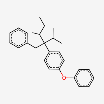 CCC(C)C(Cc1ccccc1)(c1ccc(Oc2ccccc2)cc1)C(C)C